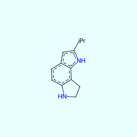 CC(C)c1cc2ccc3c(c2[nH]1)CCN3